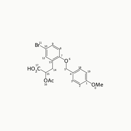 COc1ccc(COc2ccc(Br)cc2CC(OC(C)=O)C(=O)O)cc1